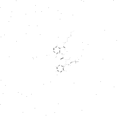 C.CCCCCNC(=O)c1cccc(C)c1NC(=O)C1CC(C(F)(F)F)=NN1c1ccccc1F